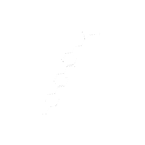 CCCCC1OC1COc1cnc(-c2ccc(C3CCC(CCC)CC3)cc2)nc1